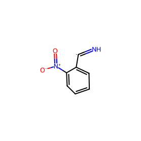 N=[C]c1ccccc1[N+](=O)[O-]